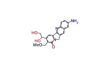 COCc1c(C(O)CO)cc2n(c1=O)Cc1cc3cc(N)ccc3nc1-2